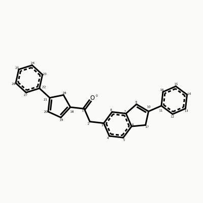 O=C(Cc1ccc2c(c1)C=C(c1ccccc1)C2)C1=CC=C(c2ccccc2)C1